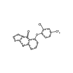 O=c1c2c(Oc3ccc(C(F)(F)F)cc3Cl)cccc2nc2sccn12